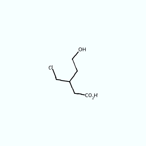 O=C(O)CC(CCl)CCO